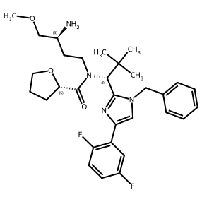 COC[C@@H](N)CCN(C(=O)[C@@H]1CCCO1)[C@@H](c1nc(-c2cc(F)ccc2F)cn1Cc1ccccc1)C(C)(C)C